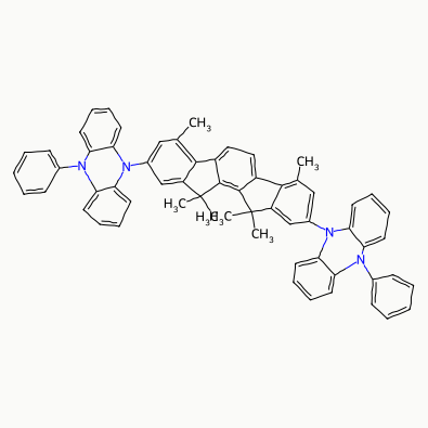 Cc1cc(N2c3ccccc3N(c3ccccc3)c3ccccc32)cc2c1-c1ccc3c(c1C2(C)C)C(C)(C)c1cc(N2c4ccccc4N(c4ccccc4)c4ccccc42)cc(C)c1-3